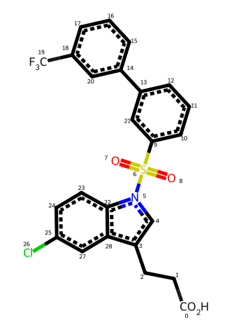 O=C(O)CCc1cn(S(=O)(=O)c2cccc(-c3cccc(C(F)(F)F)c3)c2)c2ccc(Cl)cc12